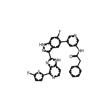 O=C(Cc1ccccc1)Nc1cncc(-c2cc3c(-c4nc5c(-c6ccc(F)s6)nccc5[nH]4)n[nH]c3cc2F)c1